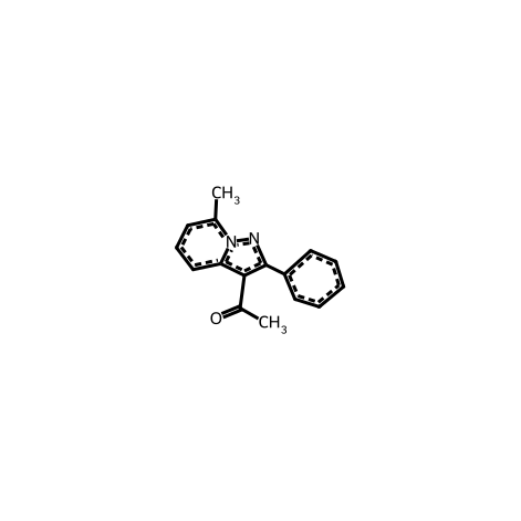 CC(=O)c1c(-c2ccccc2)nn2c(C)cccc12